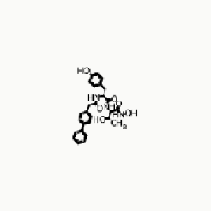 C[C@@H](O)[C@H](NC(=O)[C@H](Cc1ccc(O)cc1)NC(=O)Cc1ccc(-c2ccccc2)cc1)C(=O)NO